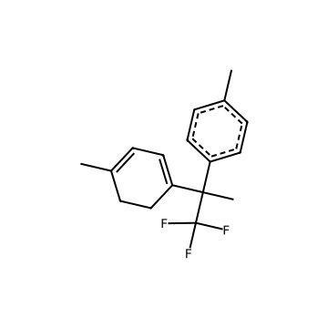 CC1=CC=C(C(C)(c2ccc(C)cc2)C(F)(F)F)CC1